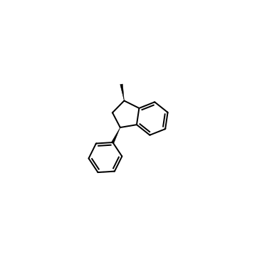 C[C@@H]1C[C@H](c2ccccc2)c2ccccc21